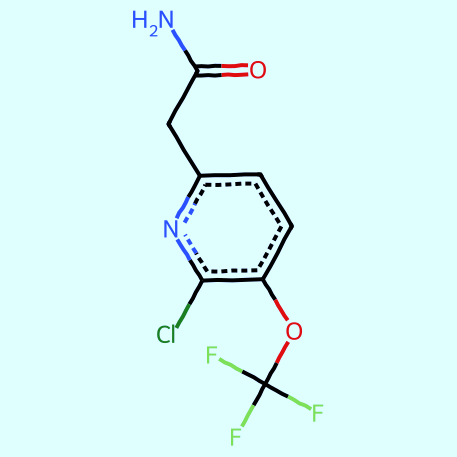 NC(=O)Cc1ccc(OC(F)(F)F)c(Cl)n1